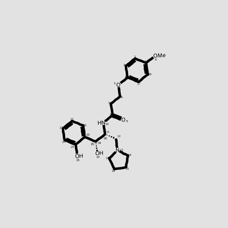 COc1ccc(OCCC(=O)N[C@H](CN2CCCC2)[C@H](O)c2ccccc2O)cc1